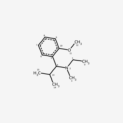 CCN(C)C(c1ccccc1OC)C(C)C